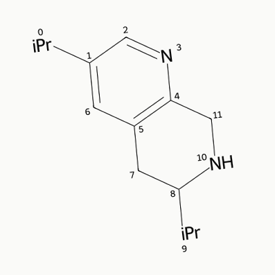 CC(C)c1cnc2c(c1)CC(C(C)C)NC2